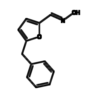 ON=Cc1ccc(Cc2ccccc2)o1